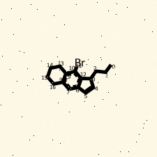 CCCC1C=Cc2cc3c(c(Br)c21)CCCC3